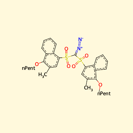 CCCCCOc1c(C)cc(S(=O)(=O)C(=[N+]=[N-])S(=O)(=O)c2cc(C)c(OCCCCC)c3ccccc23)c2ccccc12